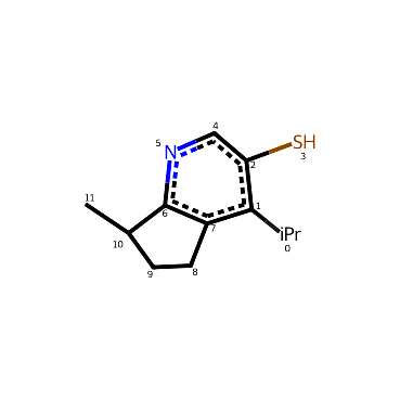 CC(C)c1c(S)cnc2c1CCC2C